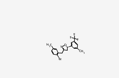 Cc1cc([C@H]2CC(Cc3cc(C)ccc3Br)=NO2)cc(C(F)(F)F)c1